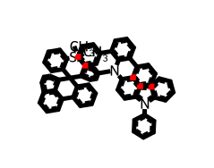 C[Si]1(C)c2ccccc2C2(c3ccccc3-c3cccc4cccc2c34)c2ccc(N(c3ccc4c(c3)c3ccccc3n4-c3ccccc3)c3c(-c4ccccc4)cccc3-c3ccccc3)cc21